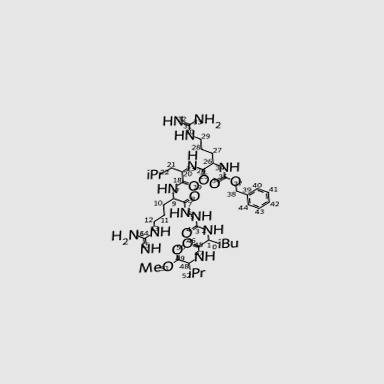 CCC(C)C(NC(=O)NNC(=O)C(CCCNC(=N)N)NC(=O)C(CC(C)C)NC(=O)C(CCCNC(=N)N)NC(=O)OCc1ccccc1)C(=O)NC(C(=O)OC)C(C)C